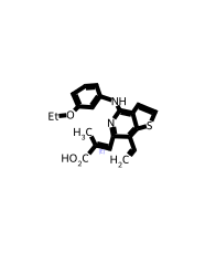 C=Cc1c(/C=C(\C)C(=O)O)nc(Nc2cccc(OCC)c2)c2ccsc12